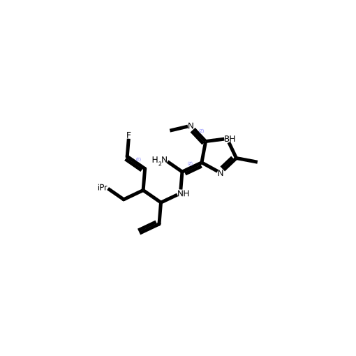 C=CC(N/C(N)=C1\N=C(C)B\C1=N\C)C(/C=C/F)CC(C)C